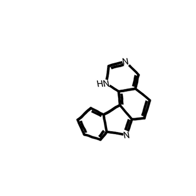 c1ccc2c(c1)nc1ccc3cnc[nH]c3c12